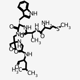 CSCC[C@H](N)C(=O)N[C@@H](C)C(=O)N[C@@H](Cc1c[nH]c2ccccc12)C(=O)NCC1(NCC(=O)NC(C=O)CC(C)C)COC1